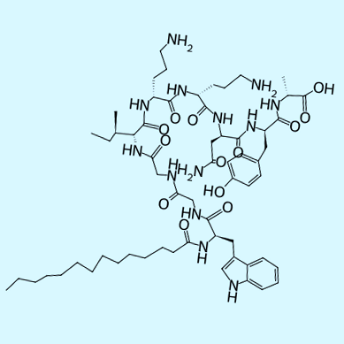 CCCCCCCCCCCCCC(=O)N[C@H](Cc1c[nH]c2ccccc12)C(=O)NCC(=O)NCC(=O)N[C@@H](C(=O)N[C@H](CCCN)C(=O)N[C@H](CCCN)C(=O)N[C@H](CC(N)=O)C(=O)N[C@H](Cc1ccc(O)cc1)C(=O)N[C@H](C)C(=O)O)[C@H](C)CC